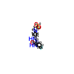 CS(=O)(=O)C1CCN(c2ccc(N/C=C3\C(=O)Nc4cc(F)ccc43)cc2)C1